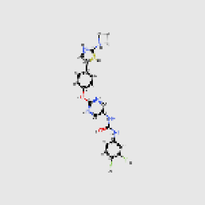 O=C(Nc1cnc(Oc2ccc(-c3cnc(N4CCC4)s3)cc2)nc1)Nc1ccc(F)c(F)c1